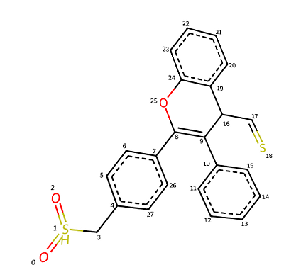 O=[SH](=O)Cc1ccc(C2=C(c3ccccc3)C(C=S)c3ccccc3O2)cc1